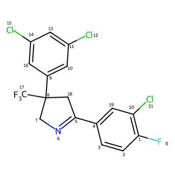 Fc1ccc(C2=NCC(c3cc(Cl)cc(Cl)c3)(C(F)(F)F)C2)cc1Cl